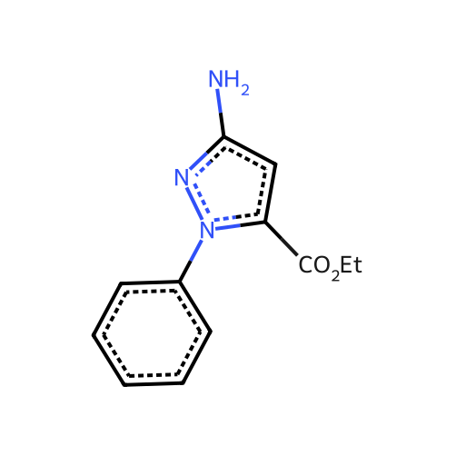 CCOC(=O)c1cc(N)nn1-c1ccccc1